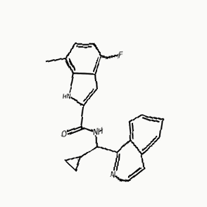 Cc1ccc(F)c2cc(C(=O)NC(c3nccc4ccccc34)C3CC3)[nH]c12